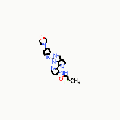 CC(F)=CC(=O)Nc1cccnc1-c1nccc2cnc(Nc3ccc(N4CCOCC4)cc3)nc12